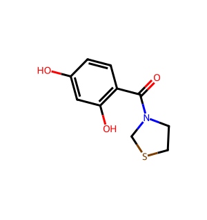 O=C(c1ccc(O)cc1O)N1CCSC1